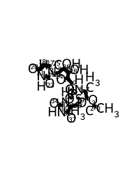 CC(C)OC(=O)[C@@H](C)NP(=O)(OCC1OC(n2ccc(=O)[nH]c2=O)C(C)(O)[C@@H]1O)SCC1NC(=O)NC1=O